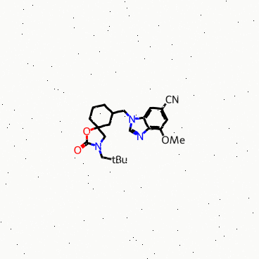 COc1cc(C#N)cc2c1ncn2CC1CCCC2(C1)CN(CC(C)(C)C)C(=O)O2